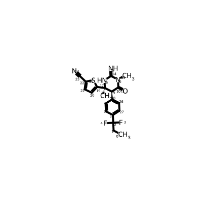 CCC(F)(F)c1ccc([C@@H]2C(=O)N(C)C(=N)N[C@]2(C)c2ccc(C#N)s2)cc1